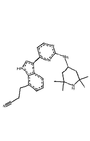 CC1(C)CC(Nc2nccc(-c3c[nH]c4c(CCC#N)cccc34)n2)CC(C)(C)N1